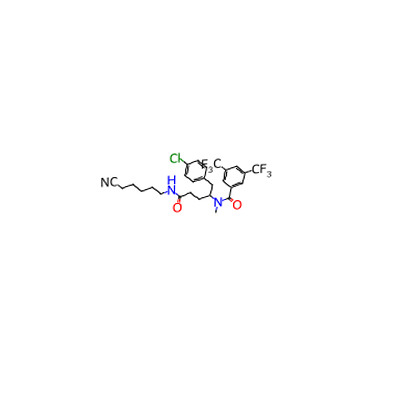 CN(C(=O)c1cc(C(F)(F)F)cc(C(F)(F)F)c1)C(CCC(=O)NCCCCCC#N)Cc1ccc(Cl)cc1